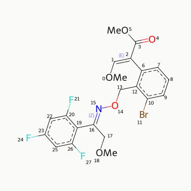 CO/C=C(/C(=O)OC)c1cccc(Br)c1CO/N=C(\COC)c1c(F)cc(F)cc1F